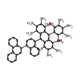 Bc1c(B)c(B)c(-c2c3c(B)c(B)c(B)c(B)c3c(-c3ccc(-c4cc5ccccc5c5ccccc45)c4ccccc34)c3c(B)c(B)c(B)c(B)c23)c(B)c1B